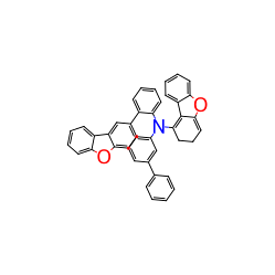 C1=c2oc3ccccc3c2=C(N(c2cccc(-c3ccccc3)c2)c2ccccc2-c2ccc3oc4ccccc4c3c2)CC1